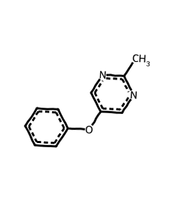 Cc1ncc(Oc2ccccc2)cn1